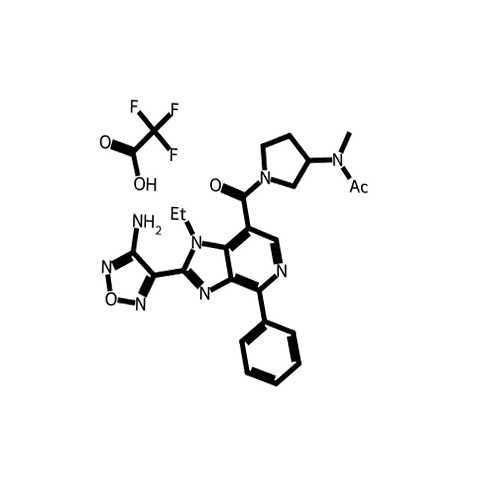 CCn1c(-c2nonc2N)nc2c(-c3ccccc3)ncc(C(=O)N3CCC(N(C)C(C)=O)C3)c21.O=C(O)C(F)(F)F